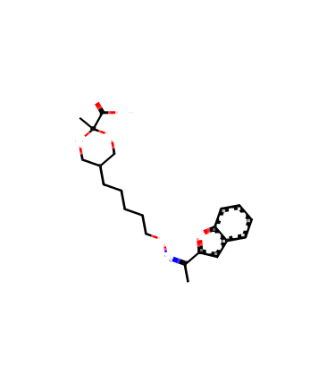 C/C(=N/OCCCCCC1COC(C)(C(=O)O)OC1)c1cc2ccccc2o1